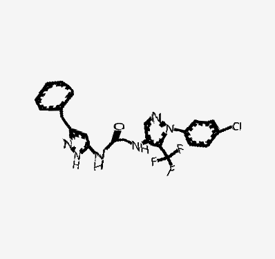 O=C(Nc1cc(-c2ccccc2)n[nH]1)Nc1cnn(-c2ccc(Cl)cc2)c1C(F)(F)F